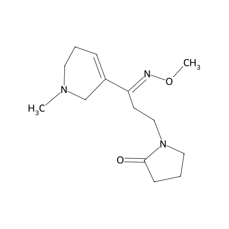 CON=C(CCN1CCCC1=O)C1=CCCN(C)C1